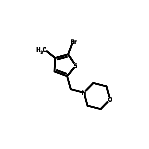 Cc1cc(CN2CCOCC2)sc1Br